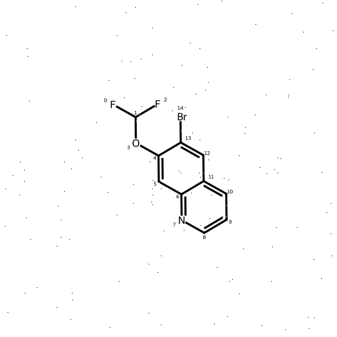 FC(F)Oc1cc2ncccc2cc1Br